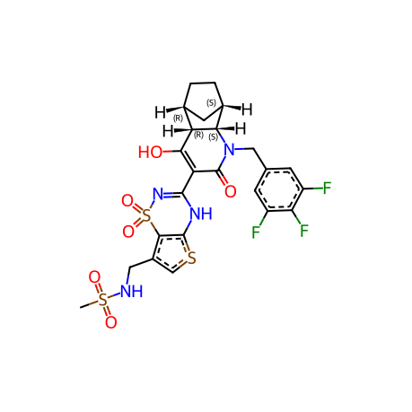 CS(=O)(=O)NCc1csc2c1S(=O)(=O)N=C(C1=C(O)[C@@H]3[C@@H]4CC[C@@H](C4)[C@@H]3N(Cc3cc(F)c(F)c(F)c3)C1=O)N2